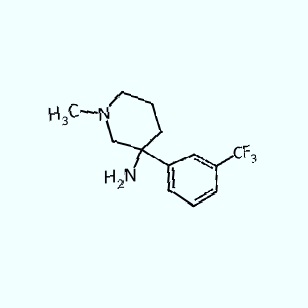 CN1CCCC(N)(c2cccc(C(F)(F)F)c2)C1